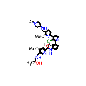 COc1cc(C(=O)Nc2cccc(-c3nccc(-c4ccc(CNC5CCN(C(C)=O)CC5)c(OC)n4)c3Cl)c2C)ncc1CNCC(C)O